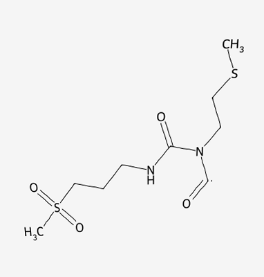 CSCCN([C]=O)C(=O)NCCCS(C)(=O)=O